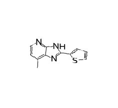 Cc1ccnc2[nH]c(-c3cccs3)nc12